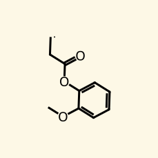 [CH2]CC(=O)Oc1ccccc1OC